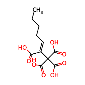 CCCCC=C(C(=O)O)C(C(=O)O)(C(=O)O)C(=O)O